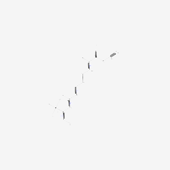 C\C=C(/C=C(C)/C=C/CC/C=C(\C)C(=O)CC#N)C(C)(C)C